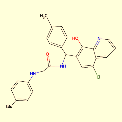 Cc1ccc(C(NC(=O)CNc2ccc(C(C)(C)C)cc2)c2cc(Cl)c3cccnc3c2O)cc1